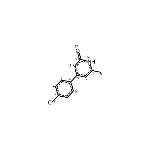 Cc1cc(-c2ccc(Cl)cc2)nc(=O)[nH]1